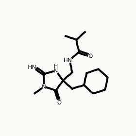 CC(C)C(=O)NCC1(CC2CCCCC2)NC(=N)N(C)C1=O